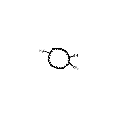 Cc1cccc(S)c(C)cccn1